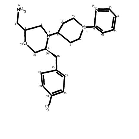 NCC1CN(C2CCN(c3ccccn3)CC2)[C@@H](Cc2ccc(Cl)cc2)CO1